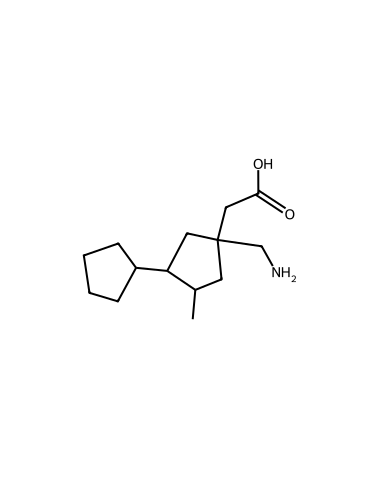 CC1CC(CN)(CC(=O)O)CC1C1CCCC1